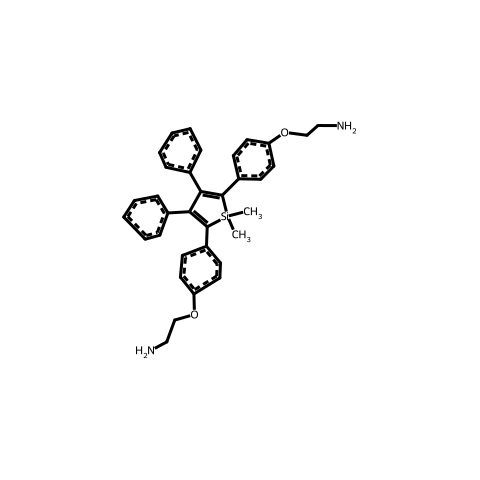 C[Si]1(C)C(c2ccc(OCCN)cc2)=C(c2ccccc2)C(c2ccccc2)=C1c1ccc(OCCN)cc1